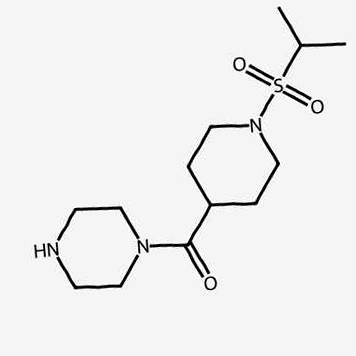 CC(C)S(=O)(=O)N1CCC(C(=O)N2CCNCC2)CC1